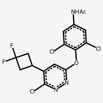 CC(=O)Nc1cc(Cl)c(Oc2cc(C3CC(F)(F)C3)c(Cl)nn2)c(Cl)c1